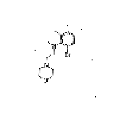 Cc1cccc(Br)c1N(C)CCN1CCOCC1